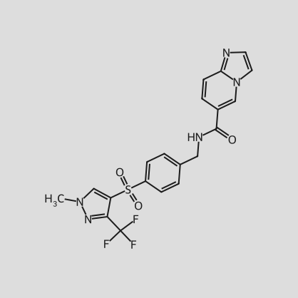 Cn1cc(S(=O)(=O)c2ccc(CNC(=O)c3ccc4nccn4c3)cc2)c(C(F)(F)F)n1